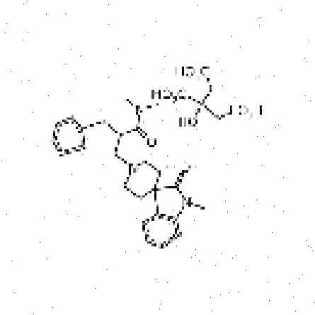 CN(C)C(=O)C(Cc1ccccc1)CN1CCC2(CC1)C(=O)N(C)c1ccccc12.O=C(O)CC(O)(CC(=O)O)C(=O)O